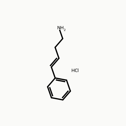 Cl.NCCC=Cc1ccccc1